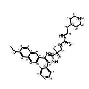 COc1ccc2cc(-c3nc(C(C)(C)CNC(=S)NCCC4CCNCC4)[nH]c3-c3ccncc3)ccc2c1